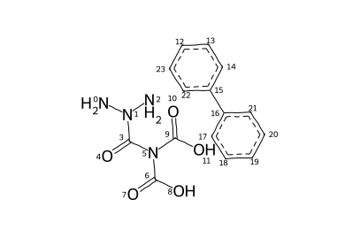 NN(N)C(=O)N(C(=O)O)C(=O)O.c1ccc(-c2ccccc2)cc1